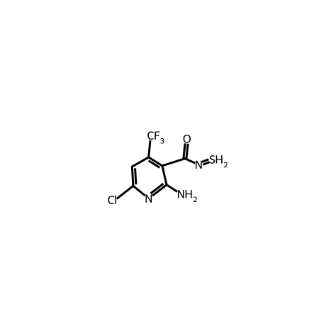 Nc1nc(Cl)cc(C(F)(F)F)c1C(=O)N=[SH2]